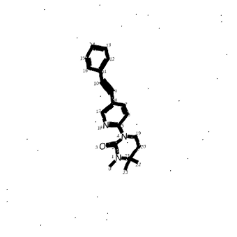 CN1C(=O)N(c2ccc(C#Cc3ccccc3)cn2)CCC1(C)C